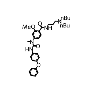 CCCCN(CCCC)CCCNC(=O)c1ccc(N(C)C(=O)Nc2ccc(Oc3ccccc3)cc2)cc1OC